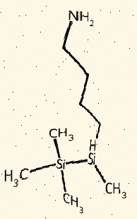 C[SiH](CCCCN)[Si](C)(C)C